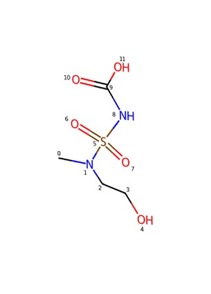 CN(CCO)S(=O)(=O)NC(=O)O